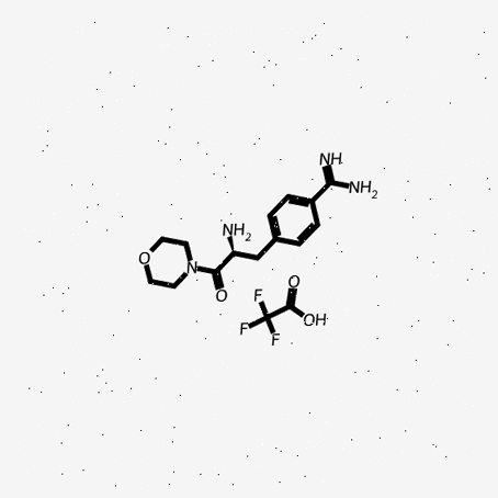 N=C(N)c1ccc(C[C@H](N)C(=O)N2CCOCC2)cc1.O=C(O)C(F)(F)F